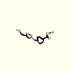 CCCOC(=O)c1ccc(Cn2cc(CO)nn2)cc1